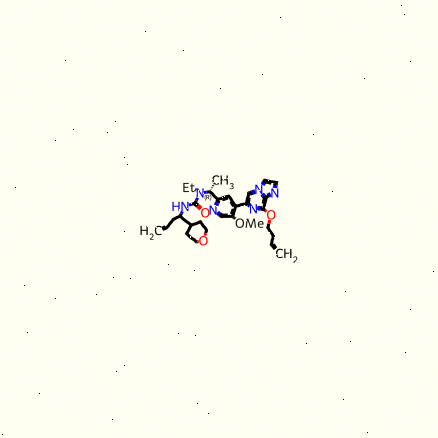 C=CCCOc1nc(-c2cc([C@@H](C)N(CC)C(=O)NC(CC=C)C3CCOCC3)ncc2OC)cn2ccnc12